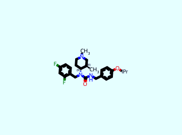 CC(C)Oc1ccc(CNC(=O)N(Cc2ccc(F)cc2F)[C@@H]2CCN(C)C[C@H]2C)cc1